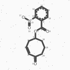 O=C1/C=C\CC(OC(=O)c2ccccc2[N+](=O)[O-])CCC1